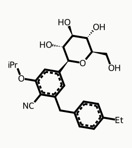 CCc1ccc(Cc2cc([C@@H]3O[C@H](CO)[C@@H](O)[C@H](O)[C@H]3O)cc(OC(C)C)c2C#N)cc1